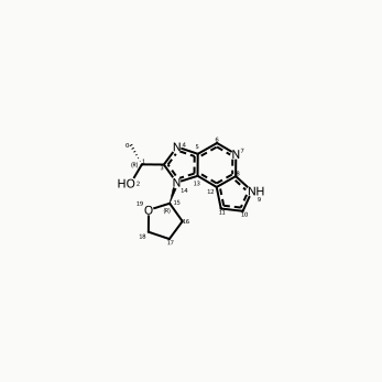 C[C@@H](O)c1nc2cnc3[nH]ccc3c2n1[C@H]1CCCO1